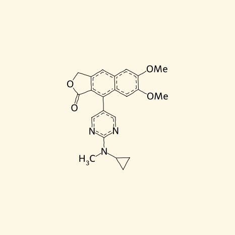 COc1cc2cc3c(c(-c4cnc(N(C)C5CC5)nc4)c2cc1OC)C(=O)OC3